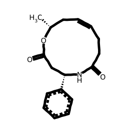 C[C@@H]1CC=CCCC(=O)N[C@H](c2ccccc2)CC(=O)O1